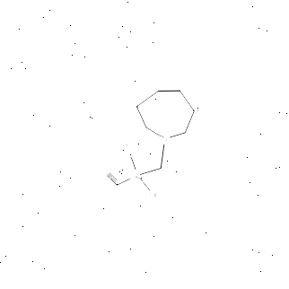 C=C[Si](CCC)(CCC)CN1CCCCCC1